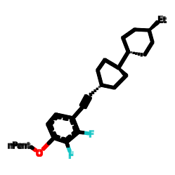 CCCCCOc1ccc(C#C[C@H]2CC[C@H]([C@H]3CC[C@H](CC)CC3)CC2)c(F)c1F